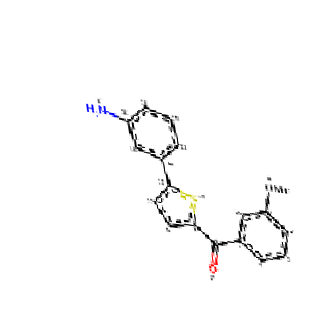 COc1cccc(C(=O)c2ccc(-c3cccc(N)c3)s2)c1